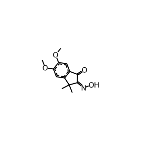 COc1cc2c(cc1OC)C(C)(C)/C(=N/O)C2=O